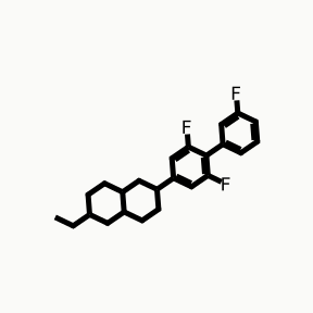 CCC1CCC2CC(c3cc(F)c(-c4cccc(F)c4)c(F)c3)CCC2C1